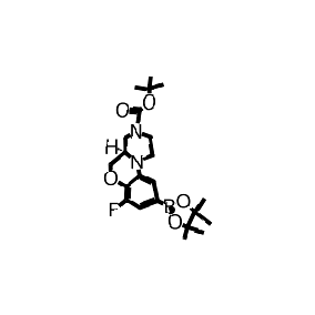 CC(C)(C)OC(=O)N1CCN2c3cc(B4OC(C)(C)C(C)(C)O4)cc(F)c3OC[C@H]2C1